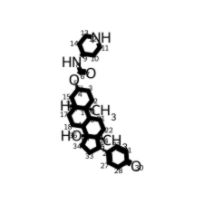 C[C@]12CC[C@H](OC(=O)NC3CCNCC3)C[C@H]1CCC1C2CC[C@]2(C)[C@@H](C3=CCC(=O)C=C3)CC[C@]12O